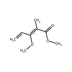 C=C/C(OC)=C(\C)C(=O)OC